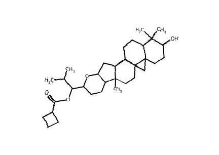 CC(C)C(OC(=O)C1CCC1)C1CCC2C(CC3C4CCC5C(C)(C)C(O)CCC56CC46CCC23C)O1